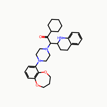 O=C(C1CCCCC1)C(C1CCc2ccccc2N1)N1CCN(c2cccc3c2OCCCO3)CC1